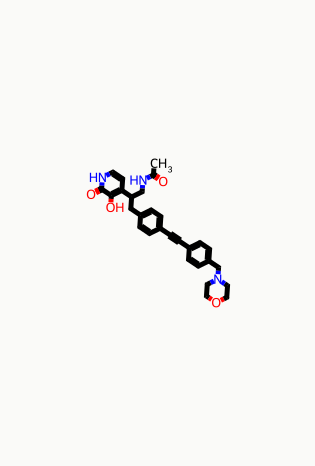 CC(=O)NCC(Cc1ccc(C#Cc2ccc(CN3CCOCC3)cc2)cc1)c1cc[nH]c(=O)c1O